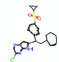 O=S(=O)(c1ccc(C(CC2CCCCC2)c2cc3ncc(Cl)nc3[nH]2)cc1)C1CC1